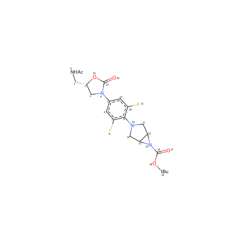 CC(=O)NC[C@H]1CN(c2cc(F)c(N3CC4C(C3)N4C(=O)OC(C)(C)C)c(F)c2)C(=O)O1